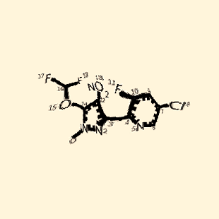 Cn1nc(-c2ncc(Cl)cc2F)c([N+](=O)[O-])c1OC(F)F